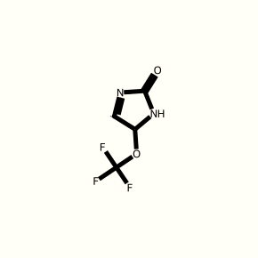 O=C1N=[C]C(OC(F)(F)F)N1